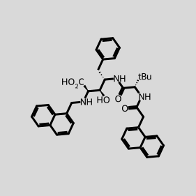 CC(C)(C)[C@H](NC(=O)Cc1cccc2ccccc12)C(=O)N[C@@H](Cc1ccccc1)[C@@H](O)[C@@H](NCc1cccc2ccccc12)C(=O)O